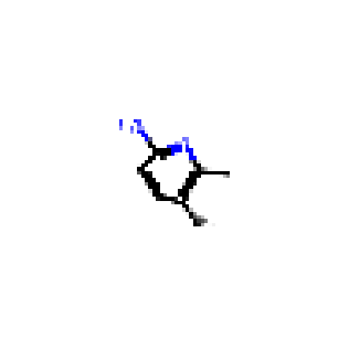 Bc1ccc(N)nc1C